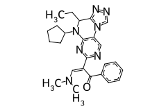 CCC1c2nncn2-c2cnc(C(=CN(C)C)C(=O)c3ccccc3)nc2N1C1CCCC1